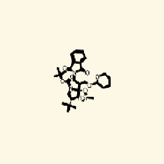 C[SiH](C)O[C@]1(C(COC2CCCCO2)CN2C(=O)c3ccccc3C2=O)C[C@H](C(C)(C)C)CN1C(=O)OC(C)(C)C